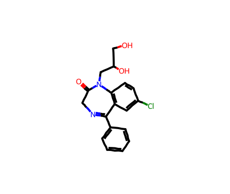 O=C1CN=C(c2ccccc2)c2cc(Cl)ccc2N1CC(O)CO